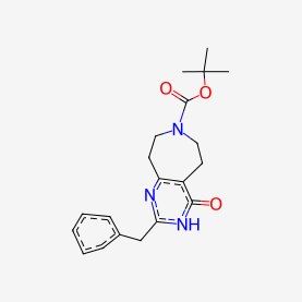 CC(C)(C)OC(=O)N1CCc2nc(Cc3ccccc3)[nH]c(=O)c2CC1